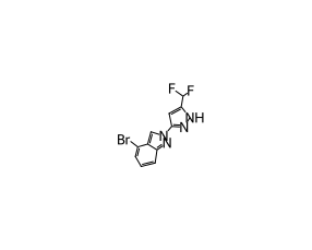 FC(F)c1cc(-n2cc3c(Br)cccc3n2)n[nH]1